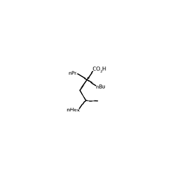 CCCCCCC(C)CC(CCC)(CCCC)C(=O)O